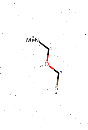 CNCOC[S]